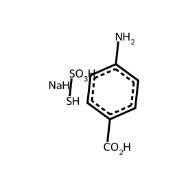 Nc1ccc(C(=O)O)cc1.O=S(=O)(O)S.[NaH]